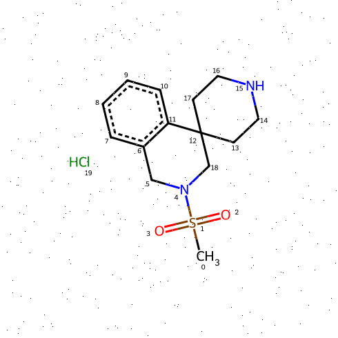 CS(=O)(=O)N1Cc2ccccc2C2(CCNCC2)C1.Cl